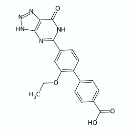 CCOc1cc(-c2nc3[nH]nnc3c(=O)[nH]2)ccc1-c1ccc(C(=O)O)cc1